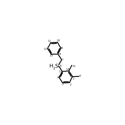 Cc1cccc([SiH2]Cc2ccccc2)c1C